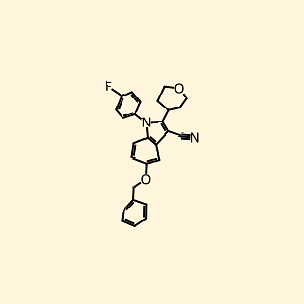 N#Cc1c(C2CCOCC2)n(-c2ccc(F)cc2)c2ccc(OCc3ccccc3)cc12